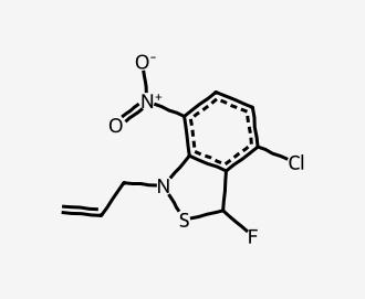 C=CCN1SC(F)c2c(Cl)ccc([N+](=O)[O-])c21